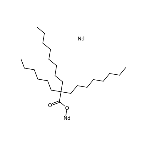 CCCCCCCCC(CCCCCC)(CCCCCCCC)C(=O)[O][Nd].[Nd]